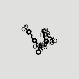 COC(=O)c1ccc(CCc2ccc(NC(=O)c3c(NC(=O)c4cccc(CN(C(=O)CCC(C)(C)C(=O)O)[C@@H]5CN6CCC5CC6)c4)sc4c3CCCC4)cc2)cc1